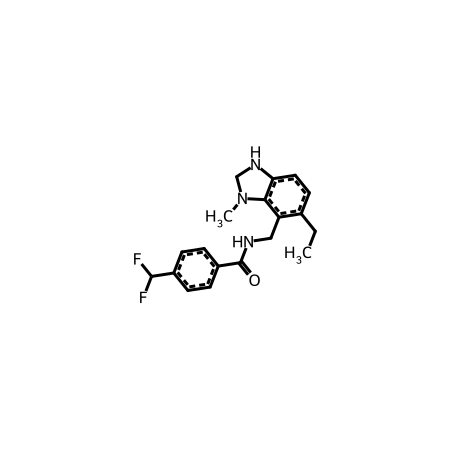 CCc1ccc2c(c1CNC(=O)c1ccc(C(F)F)cc1)N(C)CN2